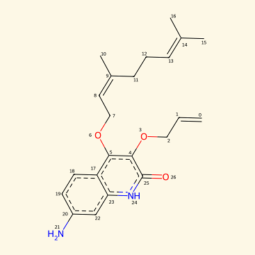 C=CCOc1c(OCC=C(C)CCC=C(C)C)c2ccc(N)cc2[nH]c1=O